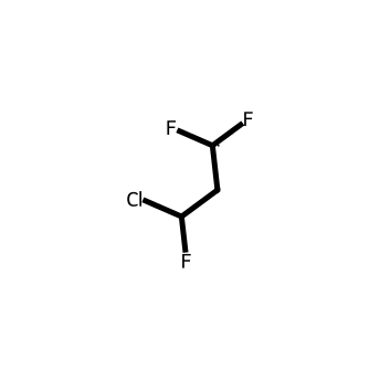 F[C](F)CC(F)Cl